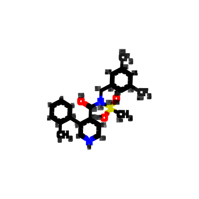 Cc1ccccc1-c1cnccc1C(=O)N(Cc1cc(C(F)(F)F)cc(C(F)(F)F)c1)S(C)(=O)=O